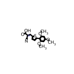 COc1cc(OC)c(-c2ccc(/C=C(\C#N)C(=O)O)s2)c(OC)c1